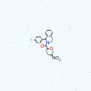 O=C([C@@H]1CC[C@H]([N+](=O)[O-])CO1)N1CCc2ccccc2[C@@H]1c1ccc(F)cc1